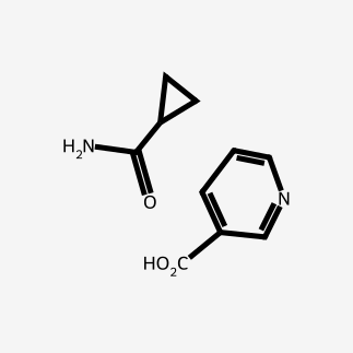 NC(=O)C1CC1.O=C(O)c1cccnc1